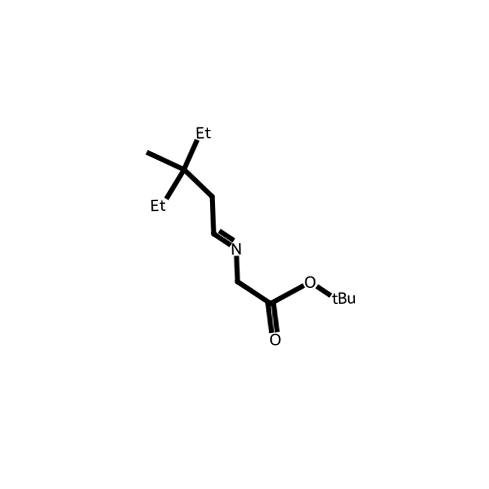 CCC(C)(CC)CC=NCC(=O)OC(C)(C)C